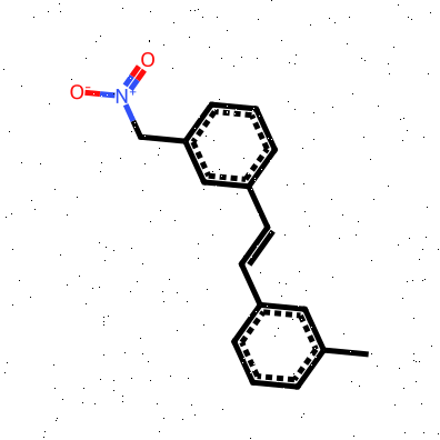 Cc1cccc(C=Cc2cccc(C[N+](=O)[O-])c2)c1